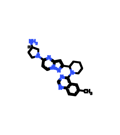 Cc1ccc2ncnc(N3CCCCC3c3cc4nc(N5CC[C@@H](N)C5)ccn4n3)c2c1